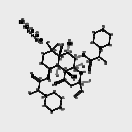 C=C[C@@]1(C)CC(=O)[C@]2(O)[C@@]3(C)[C@@H](OC(=O)C(C)N4CCSCC4)CCC(C)(C)[C@@H]3[C@H](O)[C@H](OC(=O)C(C)N3CCSCC3)[C@@]2(C)O1.Cl.Cl.O.O.O